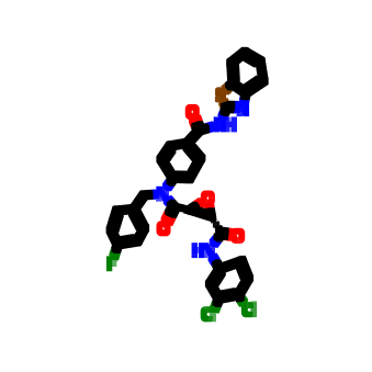 O=C(Nc1nc2ccccc2s1)c1ccc(N(Cc2ccc(F)cc2)C(=O)[C@H]2O[C@@H]2C(=O)Nc2ccc(Cl)c(Cl)c2)cc1